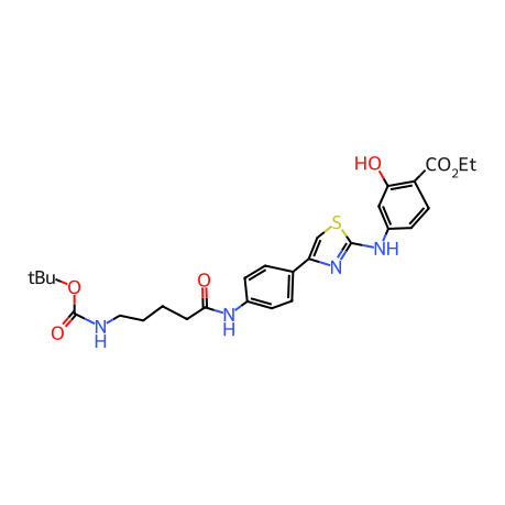 CCOC(=O)c1ccc(Nc2nc(-c3ccc(NC(=O)CCCCNC(=O)OC(C)(C)C)cc3)cs2)cc1O